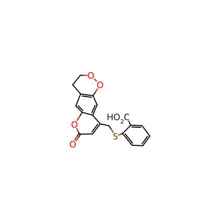 O=C(O)c1ccccc1SCc1cc(=O)oc2cc3c(cc12)OOCC3